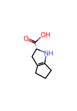 O=C(O)[C@H]1CC2=C(CCC2)N1